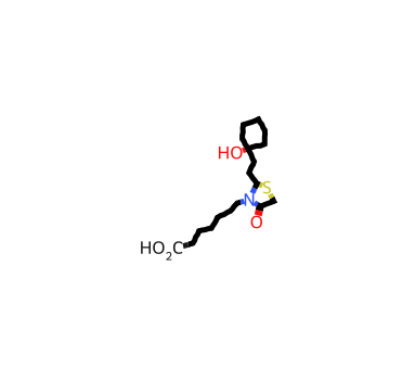 O=C(O)CCCCCCN1C(=O)CSC1CCC1(O)CCCCC1